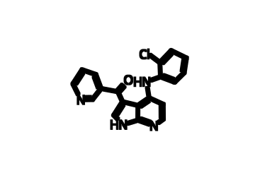 O=C(c1cccnc1)c1c[nH]c2nccc(Nc3ccccc3Cl)c12